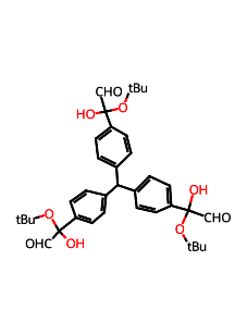 CC(C)(C)OC(O)(C=O)c1ccc(C(c2ccc(C(O)(C=O)OC(C)(C)C)cc2)c2ccc(C(O)(C=O)OC(C)(C)C)cc2)cc1